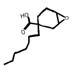 CCCCCCC1(C(=O)O)CCC2OC2C1